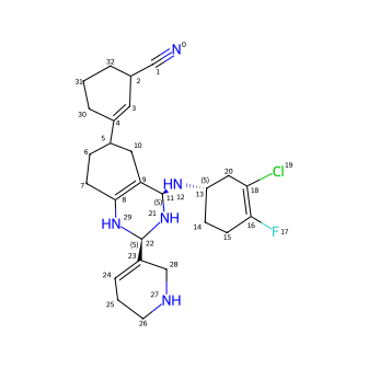 N#CC1C=C(C2CCC3=C(C2)[C@@H](N[C@H]2CCC(F)=C(Cl)C2)N[C@@H](C2=CCCNC2)N3)CCC1